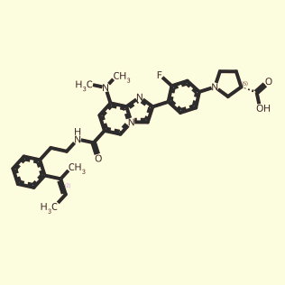 C/C=C(/C)c1ccccc1CCNC(=O)c1cc(N(C)C)c2nc(-c3ccc(N4CC[C@H](C(=O)O)C4)cc3F)cn2c1